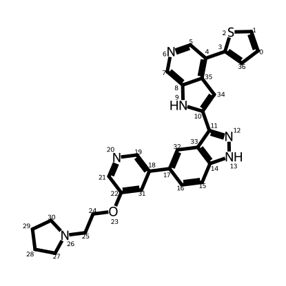 c1csc(-c2cncc3[nH]c(-c4n[nH]c5ccc(-c6cncc(OCCN7CCCC7)c6)cc45)cc23)c1